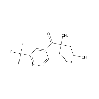 CCCC(C)(CC)C(=O)c1ccnc(C(F)(F)F)c1